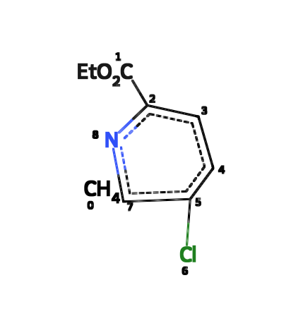 C.CCOC(=O)c1ccc(Cl)cn1